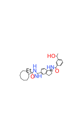 CCC1(C2CCCCCCCC2)NC(c2ccc3c(c2)CC[C@H]3NC(=O)c2cccc(C(C)O)c2)NO1